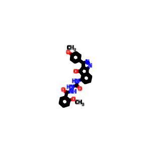 COc1ccc(C2=C3C(=O)c4c(NC(=O)NNC(=O)c5ccccc5OC)cccc4C3N=N2)cc1